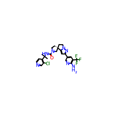 CC(C)(NC(=O)N1CC[C@@]2(CCn3nc(-c4cnc(N)c(C(F)(F)F)c4)cc32)C1)c1ccncc1Cl